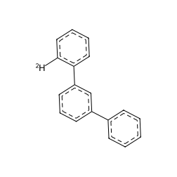 [2H]c1ccccc1-c1cccc(-c2ccccc2)c1